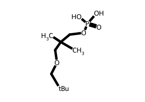 CC(C)(C)COCC(C)(C)COP(=O)(O)O